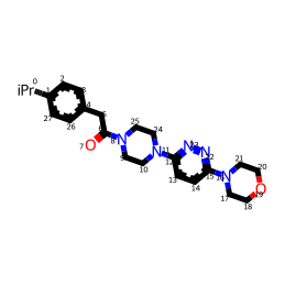 CC(C)c1ccc(CC(=O)N2CCN(c3ccc(N4CCOCC4)nn3)CC2)cc1